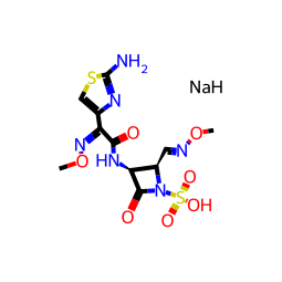 CO/N=C(\C(=O)N[C@@H]1C(=O)N(S(=O)(=O)O)[C@@H]1/C=N/OC)c1csc(N)n1.[NaH]